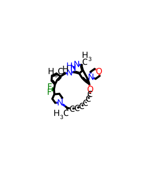 Cc1nnc2c3cc(N4CCOCC4)c(cc13)OCCCCCCC(C)N1CCC(CC1)C(F)(F)c1cccc(c1)[C@@H](C)N2